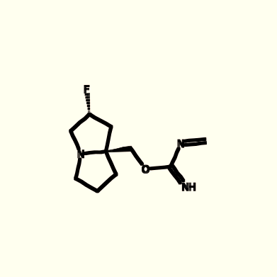 C=NC(=N)OC[C@@]12CCCN1C[C@H](F)C2